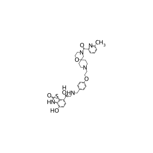 Cc1cccc(C(=O)N2CCOC3(CCN(CCOc4ccc(CNC[C@H](O)c5ccc(O)c6[nH]c(=O)sc56)cc4)CC3)C2)n1